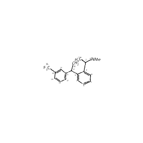 CNC(C)c1ccccc1C(C)c1cccc(C(F)(F)F)c1